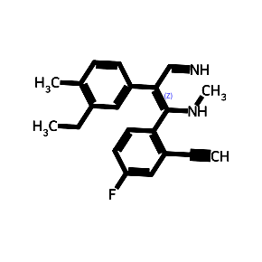 C#Cc1cc(F)ccc1/C(NC)=C(/C=N)c1ccc(C)c(CC)c1